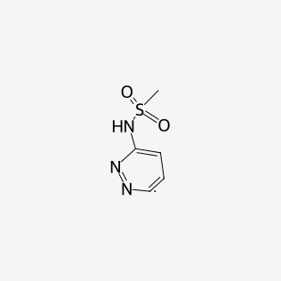 CS(=O)(=O)Nc1cc[c]nn1